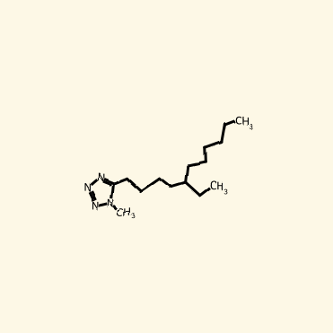 CCCCCCC(CC)CCCCc1nnnn1C